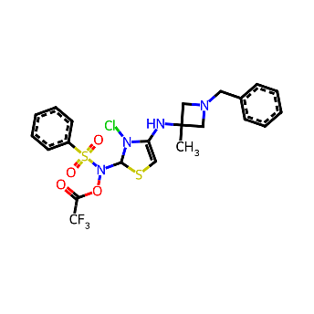 CC1(NC2=CSC(N(OC(=O)C(F)(F)F)S(=O)(=O)c3ccccc3)N2Cl)CN(Cc2ccccc2)C1